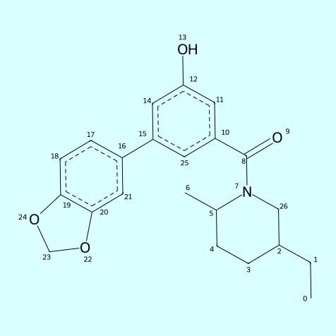 CCC1CCC(C)N(C(=O)c2cc(O)cc(-c3ccc4c(c3)OCO4)c2)C1